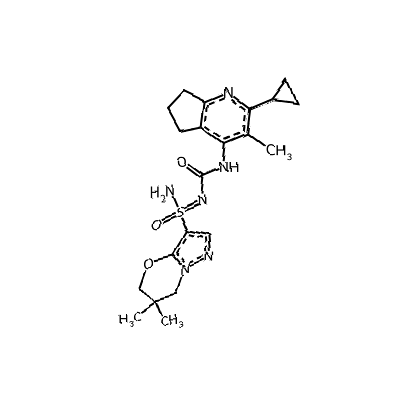 Cc1c(C2CC2)nc2c(c1NC(=O)N=S(N)(=O)c1cnn3c1OCC(C)(C)C3)CCC2